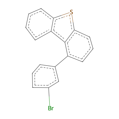 Brc1cccc(-c2cccc3sc4ccccc4c23)c1